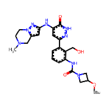 CN1CCn2nc(Nc3cc(-c4cccc(NC(=O)N5CC(OC(C)(C)C)C5)c4CO)n[nH]c3=O)cc2C1